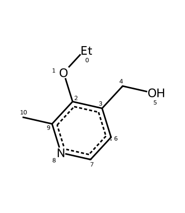 CCOc1c(CO)[c]cnc1C